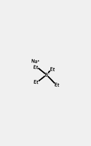 CC[B-](CC)(CC)CC.[Na+]